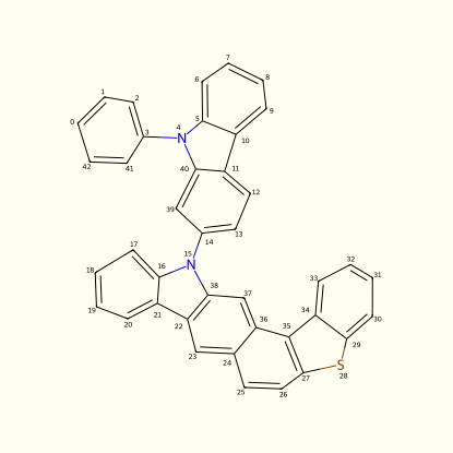 c1ccc(-n2c3ccccc3c3ccc(-n4c5ccccc5c5cc6ccc7sc8ccccc8c7c6cc54)cc32)cc1